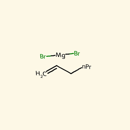 [Br][Mg][Br].[CH2]CCCC=C